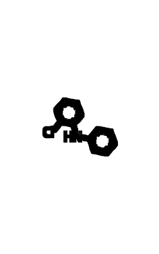 Clc1ccccc1Nc1ccccc1